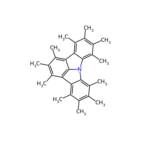 Cc1c(C)c(C)c2c(c1C)c1c(C)c(C)c(C)c3c4c(C)c(C)c(C)c(C)c4n2c13